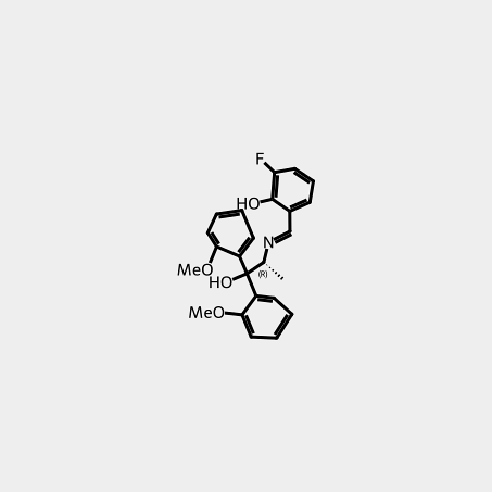 COc1ccccc1C(O)(c1ccccc1OC)[C@@H](C)N=Cc1cccc(F)c1O